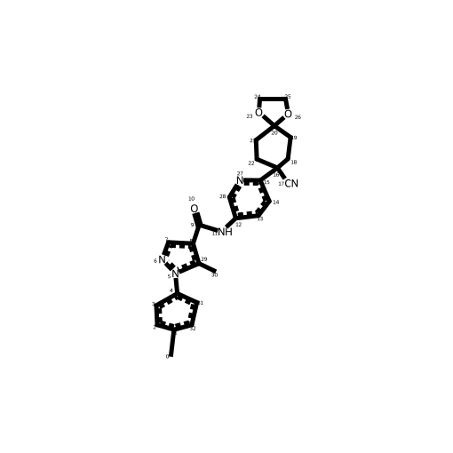 Cc1ccc(-n2ncc(C(=O)Nc3ccc(C4(C#N)CCC5(CC4)OCCO5)nc3)c2C)cc1